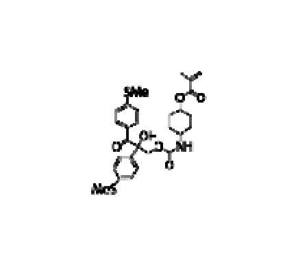 C=C(C)C(=O)OC1CCC(NC(=O)OCC(O)(C(=O)c2ccc(SC)cc2)c2ccc(SC)cc2)CC1